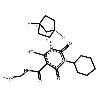 O=C(O)CNC(=O)c1c(O)n([C@@H]2C[C@@H]3CC[C@@H]2C3)c(=O)n(C2CCCCC2)c1=O